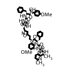 COc1ccc(N(C)C(=O)[C@H](Cc2ccccc2)NC(=O)NS(=O)(=O)NCc2cc(CCN(C(=O)[C@H](Cc3ccccc3)NC(=O)NS(=O)(=O)NC(C)c3cccc(C)n3)c3ccc(OC)cc3)on2)cc1